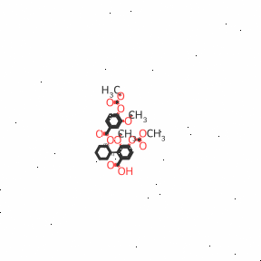 COC(=O)Oc1ccc(C(=O)O[C@H]2CCCC[C@@H]2c2c(C(=O)O)ccc(OC(=O)OC)c2OC)cc1OC